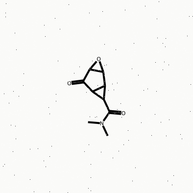 CN(C)C(=O)C1C2C(=O)C3OC3C21